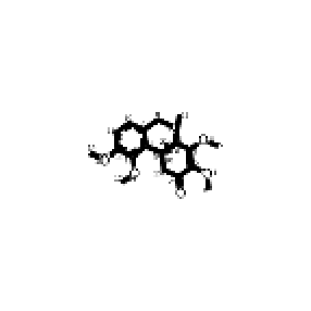 COC1=C(OC)[C@]23CCc4ccc(OC)c(OC)c4[C@]2(CCN3C)CC1=O